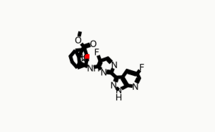 COC(=O)[C@H]1C2CCCC(CC2)[C@@H]1Nc1nc(-c2n[nH]c3ncc(F)cc23)ncc1F